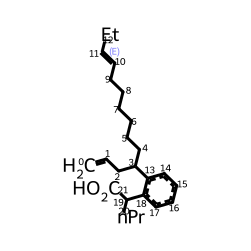 C=CCC(CCCCCC/C=C/CC)c1ccccc1C(CCC)C(=O)O